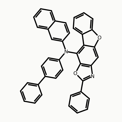 c1ccc(-c2ccc(N(c3ccc4ccccc4c3)c3c4oc(-c5ccccc5)nc4cc4oc5ccccc5c34)cc2)cc1